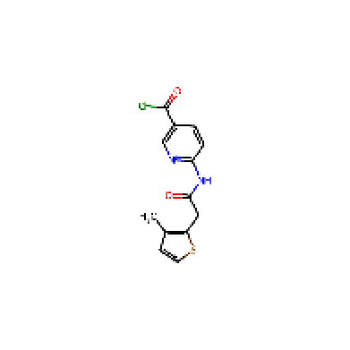 Cc1ccsc1CC(=O)Nc1ccc(C(=O)Cl)cn1